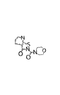 O=C(N1CCOCC1)n1sc2ncccc2c1=O